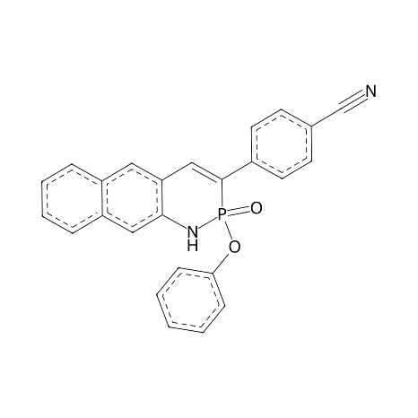 N#Cc1ccc(C2=Cc3cc4ccccc4cc3NP2(=O)Oc2ccccc2)cc1